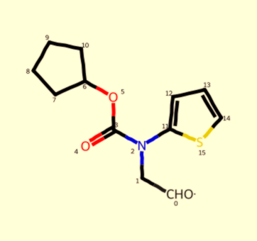 O=[C]CN(C(=O)OC1CCCC1)c1cccs1